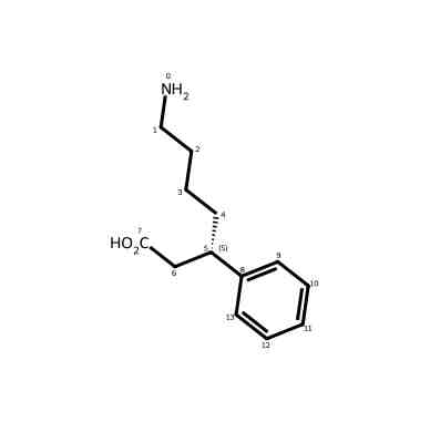 NCCCC[C@@H](CC(=O)O)c1ccccc1